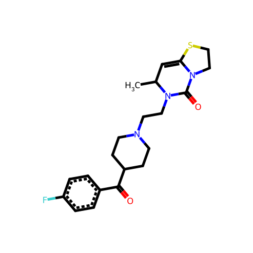 CC1C=C2SCCN2C(=O)N1CCN1CCC(C(=O)c2ccc(F)cc2)CC1